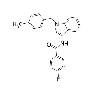 Cc1ccc(Cn2cc(NC(=O)c3ccc(F)cc3)c3ccccc32)cc1